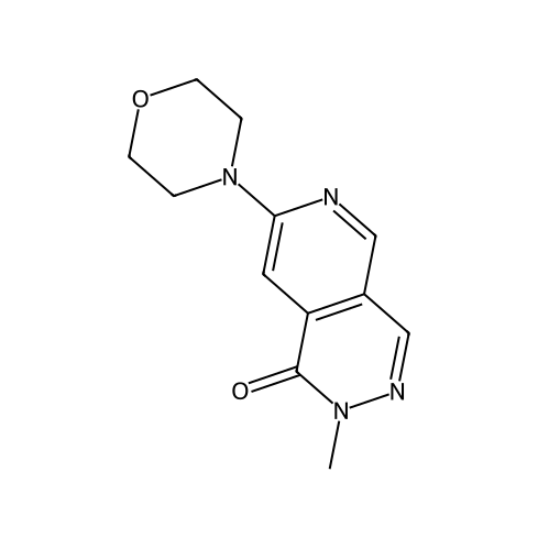 Cn1ncc2cnc(N3CCOCC3)cc2c1=O